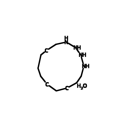 C1CCCCCNNNNCCCC1.O